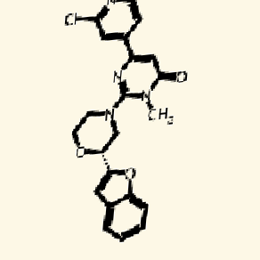 Cn1c(N2CCO[C@@H](c3cc4ccccc4o3)C2)nc(-c2ccnc(Cl)c2)cc1=O